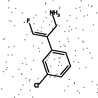 NCC(=CF)c1cccc(Cl)c1